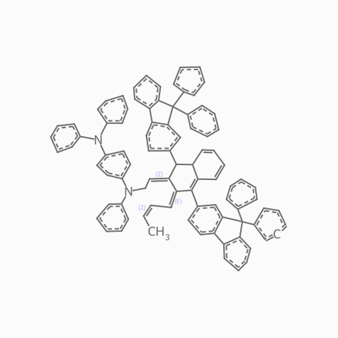 C\C=C/C=C1/C(c2ccc3c(c2)C(c2ccccc2)(c2ccccc2)c2ccccc2-3)=C2C=CC=CC2C(c2ccc3c(c2)C(c2ccccc2)(c2ccccc2)c2ccccc2-3)/C1=C/CN(c1ccccc1)c1ccc(N(c2ccccc2)c2ccccc2)cc1